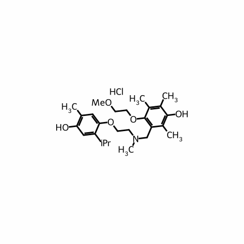 COCCOc1c(C)c(C)c(O)c(C)c1CN(C)CCOc1cc(C)c(O)cc1C(C)C.Cl